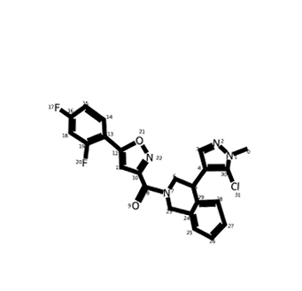 Cn1ncc(C2CN(C(=O)c3cc(-c4ccc(F)cc4F)on3)Cc3ccccc32)c1Cl